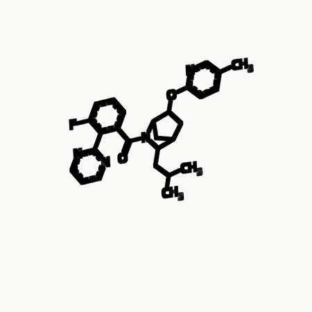 Cc1ccc(OC2CC3CC2N(C(=O)c2cccc(F)c2-c2ncccn2)C3CC(C)C)nc1